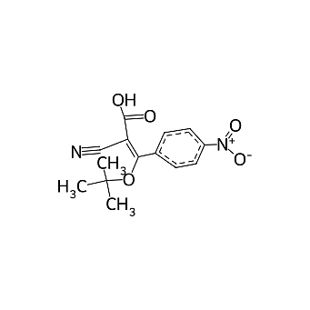 CC(C)(C)OC(=C(C#N)C(=O)O)c1ccc([N+](=O)[O-])cc1